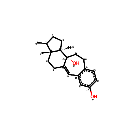 C[C@H]1CC[C@@H]2[C@]1(C)CCC1=Cc3cc(O)ccc3CC[C@@]12O